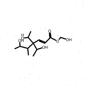 CC(O)C(C)C(C=CC(=O)OCO)(C(C)O)C(C)O